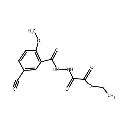 CCOC(=O)C(=O)NNC(=O)c1cc(C#N)ccc1OC